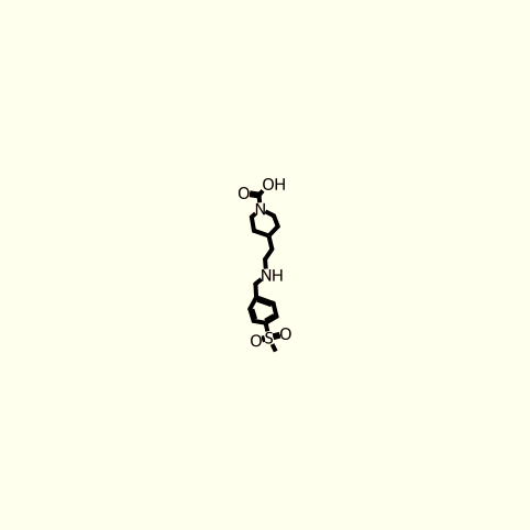 CS(=O)(=O)c1ccc(CNCCC2CCN(C(=O)O)CC2)cc1